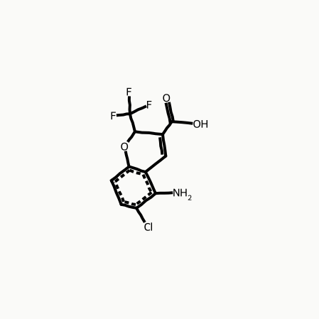 Nc1c(Cl)ccc2c1C=C(C(=O)O)C(C(F)(F)F)O2